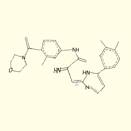 C=C(Nc1ccc(C(=C)N2CCOCC2)c(C)c1)C(=N)/C=C1/N=CC=C(c2ccc(C)c(C)c2)N1